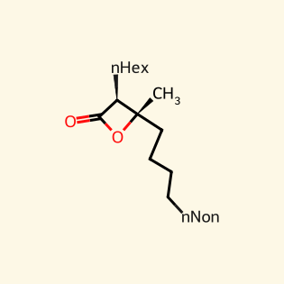 CCCCCCCCCCCCC[C@]1(C)OC(=O)[C@H]1CCCCCC